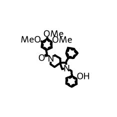 COc1cc(C(=O)N2CCC3(CC2)CN(Cc2ccccc2O)C3c2ccccc2)cc(OC)c1OC